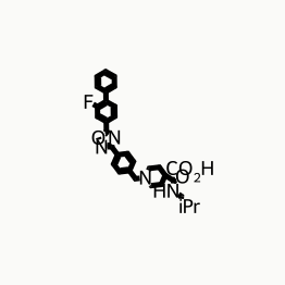 CC(C)CNC(=O)C1(C(=O)O)CCN(Cc2ccc(-c3noc(-c4ccc(-c5ccccc5)c(F)c4)n3)cc2)CC1